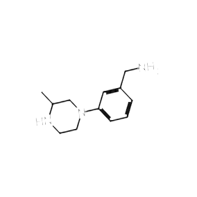 CC1CN(c2cccc(CN)c2)CCN1